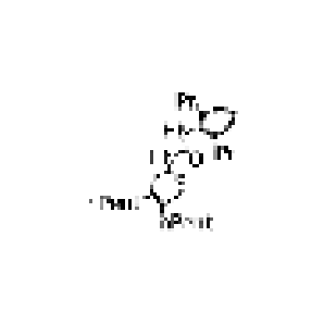 CCCCCC1=C(CCCCC)CC(NC(=O)Nc2c(C(C)C)cccc2C(C)C)SC1